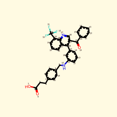 O=C(O)CCc1ccc(CNc2cccc(-c3c(C(=O)c4ccccc4)cnc4c(C(F)(F)F)cccc34)c2)cc1